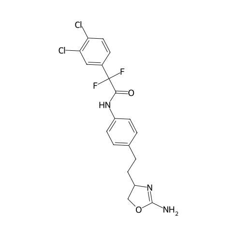 NC1=NC(CCc2ccc(NC(=O)C(F)(F)c3ccc(Cl)c(Cl)c3)cc2)CO1